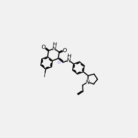 C=CCN1CCCC1c1ccc(N/C=C2\C(=O)NC(=O)c3ccc(I)cc32)cc1